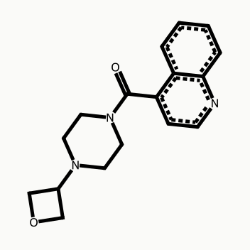 O=C(c1ccnc2ccccc12)N1CCN(C2COC2)CC1